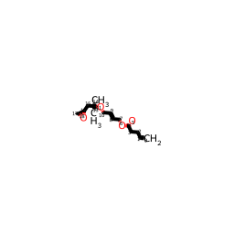 C=CCCC(=O)OC/C=C/COC(C)(C)CC1CO1